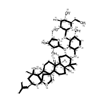 CC(C)=C[C@H]1C[C@](C)(O)C2[C@H]3CC[C@@H]4[C@@]5(C)CC[C@H](OC6OC[C@@H](O)[C@H](OC7O[C@H](CO)[C@@H](O)[C@H](O)[C@H]7O)[C@H]6OC6O[C@@H](C)[C@H](O)[C@H]6O)C(C)(C)[C@@H]5CC[C@@]4(C)[C@@]34CO[C@@]2(C4)O1